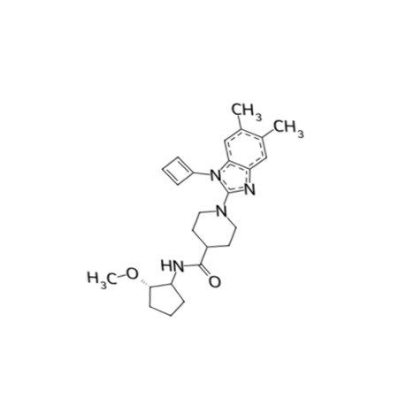 CO[C@H]1CCCC1NC(=O)C1CCN(c2nc3cc(C)c(C)cc3n2C2=CC=C2)CC1